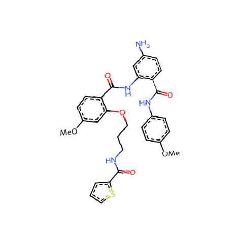 COc1ccc(NC(=O)c2ccc(N)cc2NC(=O)c2ccc(OC)cc2OCCCNC(=O)c2cccs2)cc1